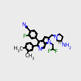 Cc1ccc(-c2ncc3c(cc(CN4CC[C@H](N)C4)n3CC(F)F)c2-c2ccc(C#N)c(F)c2)cc1C